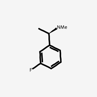 CN[C@H](C)c1cccc(F)c1